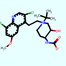 COc1cc(F)c2ncc(Cl)c(CC[N+]3(C(C)(C)C)CCC(NC(=O)[O-])C(O)C3)c2c1